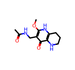 COc1[nH]c2c(c(=O)c1CNC(C)=O)NCCC2